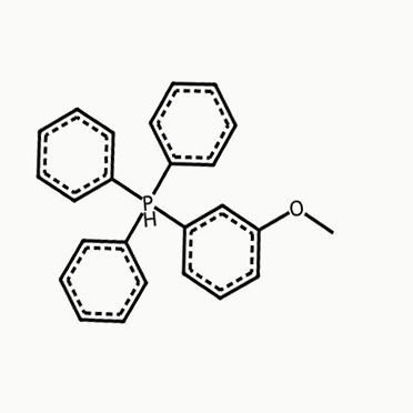 COc1cccc([PH](c2ccccc2)(c2ccccc2)c2ccccc2)c1